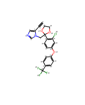 C#Cc1cncn1CC1(c2ccc(Oc3ccc(C(F)(F)F)cc3)cc2Cl)OCCO1